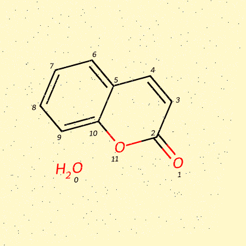 O.O=c1ccc2ccccc2o1